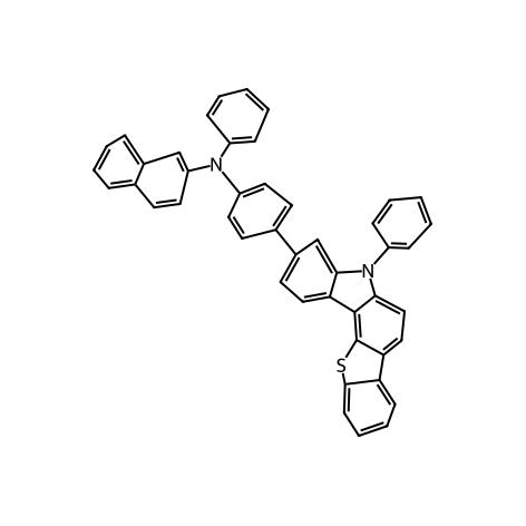 c1ccc(N(c2ccc(-c3ccc4c5c6sc7ccccc7c6ccc5n(-c5ccccc5)c4c3)cc2)c2ccc3ccccc3c2)cc1